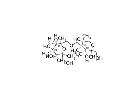 CC1(O)[C@@](C)(COC[C@@]2(C)C(C)(O)COC(C)(CO)[C@@]2(C)O)OC(C)(CO)[C@@](C)(O)[C@@]1(C)O